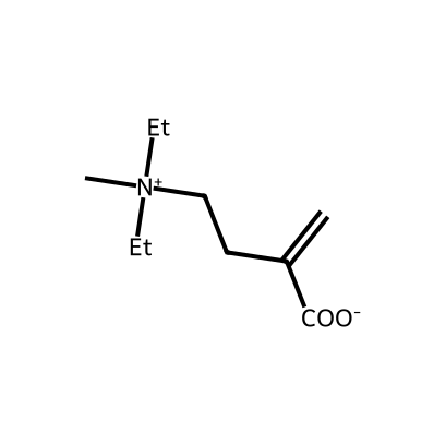 C=C(CC[N+](C)(CC)CC)C(=O)[O-]